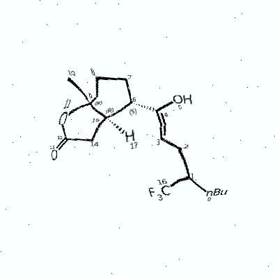 CCCCC(CC=C(O)[C@H]1CC[C@@]2(C)OC(=O)C[C@H]12)C(F)(F)F